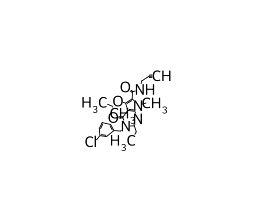 C#CCNC(=O)c1c(OC(C)C)c2c(=O)n(Cc3cccc(Cl)c3)c(CC)nc2n1C